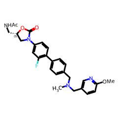 COc1ccc(CN(C)Cc2ccc(-c3ccc(N4C[C@H](CNC(C)=O)OC4=O)cc3F)cc2)cn1